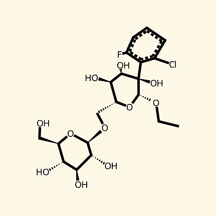 CCO[C@@H]1O[C@H](CO[C@@H]2O[C@H](CO)[C@@H](O)[C@H](O)[C@H]2O)[C@@H](O)[C@H](O)[C@]1(O)c1c(F)cccc1Cl